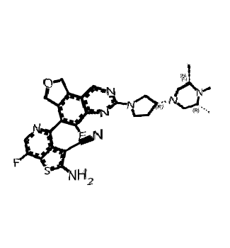 C[C@@H]1CN([C@@H]2CCN(c3ncc4c5c(c(-c6ncc(F)c7sc(N)c(C#N)c67)c(F)c4n3)COC5)C2)C[C@@H](C)N1C